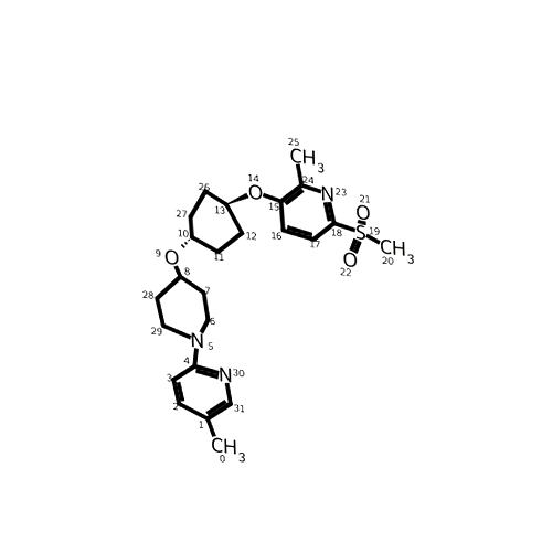 Cc1ccc(N2CCC(O[C@H]3CC[C@H](Oc4ccc(S(C)(=O)=O)nc4C)CC3)CC2)nc1